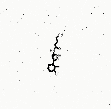 Cc1c(Cl)cccc1-c1cc(NC(=O)CCCC#N)[nH]n1